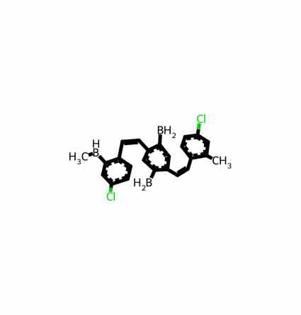 Bc1cc(/C=C\c2ccc(Cl)cc2BC)c(B)cc1/C=C\c1ccc(Cl)cc1C